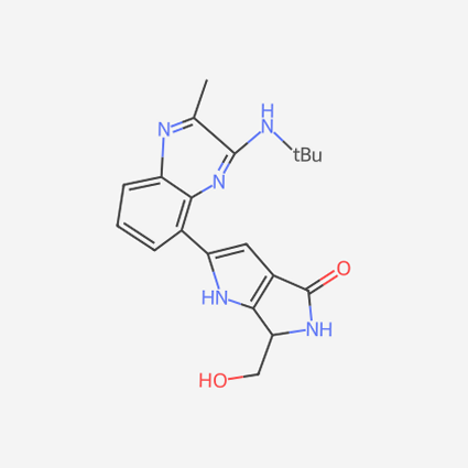 Cc1nc2cccc(-c3cc4c([nH]3)C(CO)NC4=O)c2nc1NC(C)(C)C